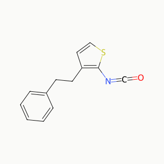 O=C=Nc1sccc1CCc1ccccc1